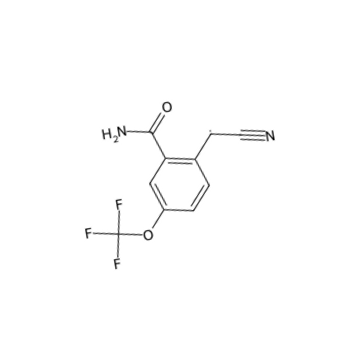 N#C[CH]c1ccc(OC(F)(F)F)cc1C(N)=O